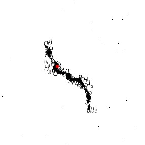 CCC(C)(CC(C)(C)C(=O)OCCOC(=O)c1ccc(C(=O)OCCOC(=O)C(C)(C)CC(C)(CC)C(=O)OCCOC(=O)c2ccc(C(=O)OCCOC)cc2)cc1)C(=O)OCCOC(=O)c1ccc(C(=O)OCCO)cc1